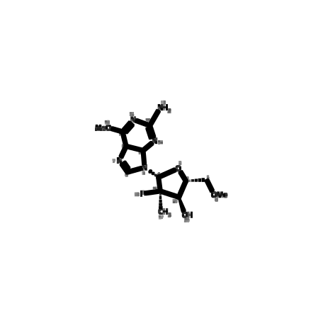 COC[C@H]1O[C@@H](N2C=NC3C(OC)=NC(N)=NC32)[C@](C)(F)[C@@H]1O